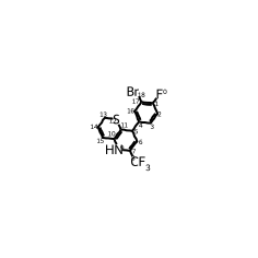 Fc1ccc(C2C=C(C(F)(F)F)NC3=C2SCC=C3)cc1Br